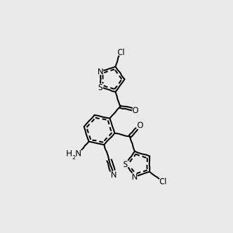 N#Cc1c(N)ccc(C(=O)c2cc(Cl)ns2)c1C(=O)c1cc(Cl)ns1